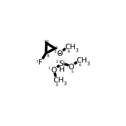 CO[SiH](OC)OC.FC1CC1